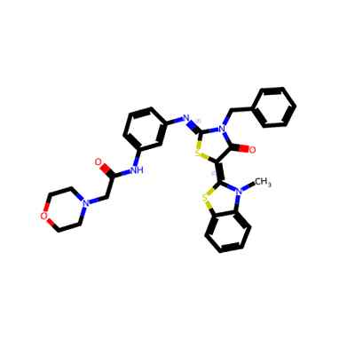 CN1/C(=C2/S/C(=N\c3cccc(NC(=O)CN4CCOCC4)c3)N(Cc3ccccc3)C2=O)Sc2ccccc21